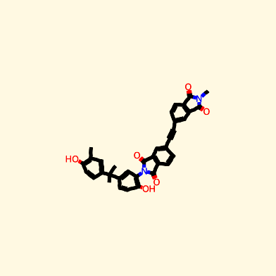 Cc1cc(C(C)(C)c2ccc(O)c(N3C(=O)c4ccc(C#Cc5ccc6c(c5)C(=O)N(C)C6=O)cc4C3=O)c2)ccc1O